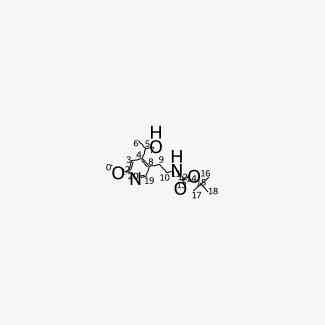 COc1cc(C(C)O)c(CCNC(=O)OC(C)(C)C)cn1